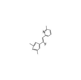 Cc1cc(C)cc(/C(F)=C/c2cccc(C)n2)c1